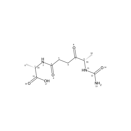 C[C@H](NC(=O)CCC(=O)[C@H](C)NC(N)=O)C(=O)O